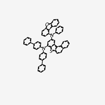 c1ccc(-c2ccc(N(c3ccc(-c4ccccc4)cc3)c3cc(N(c4ccccc4)c4cccc5oc6ccccc6c45)cc4c3sc3ccc5ccccc5c34)cc2)cc1